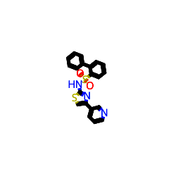 O=S(=O)(Nc1nc(-c2cccnc2)cs1)c1ccccc1-c1ccccc1